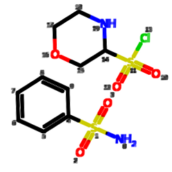 NS(=O)(=O)c1ccccc1.O=S(=O)(Cl)C1COCCN1